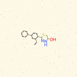 C=Cc1cc(-c2ccccc2)ccc1C1=NNC(O)CS1